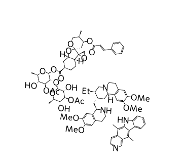 CC(=O)O[C@@H]1[C@@H](O)[C@H](O[C@H]2[C@H](OC(=O)[C@@H]3CC[C@@H]4[C@H](C3)O[C@]3(C[C@H](OC(=O)/C=C/c5ccccc5)[C@H](C)CO3)[C@@]43CO3)O[C@H](C)[C@@H](O)[C@@H]2OC(C)=O)O[C@H](C)[C@H]1O.CC[C@H]1CN2CCc3cc(OC)c(OC)cc3[C@@H]2C[C@@H]1C[C@H]1NCCc2cc(OC)c(OC)cc21.Cc1c2ccncc2c(C)c2c1[nH]c1ccccc12